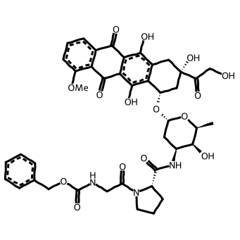 COc1cccc2c1C(=O)c1c(O)c3c(c(O)c1C2=O)C[C@@](O)(C(=O)CO)C[C@@H]3O[C@H]1C[C@H](NC(=O)[C@@H]2CCCN2C(=O)CNC(=O)OCc2ccccc2)[C@H](O)[C@H](C)O1